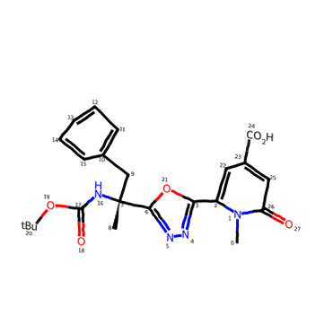 Cn1c(-c2nnc([C@@](C)(Cc3ccccc3)NC(=O)OC(C)(C)C)o2)cc(C(=O)O)cc1=O